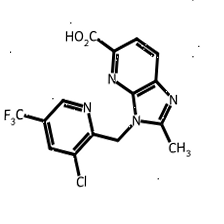 Cc1nc2ccc(C(=O)O)nc2n1Cc1ncc(C(F)(F)F)cc1Cl